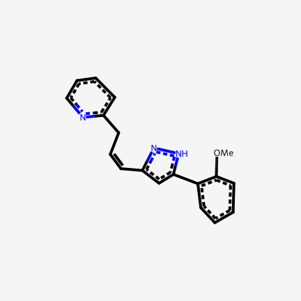 COc1ccccc1-c1cc(/C=C\Cc2ccccn2)n[nH]1